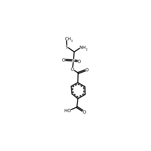 CSC(N)S(=O)(=O)OC(=O)c1ccc(C(=O)O)cc1